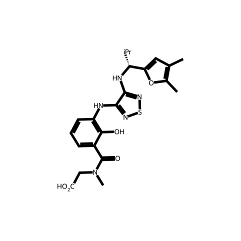 Cc1cc([C@H](Nc2nsnc2Nc2cccc(C(=O)N(C)CC(=O)O)c2O)C(C)C)oc1C